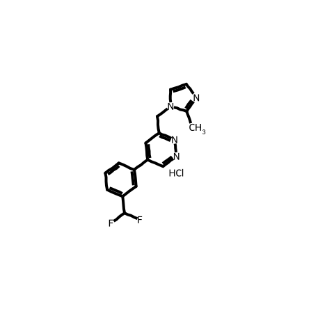 Cc1nccn1Cc1cc(-c2cccc(C(F)F)c2)cnn1.Cl